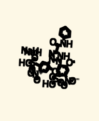 COc1cc([N+](=O)[O-])c(S(=O)(=O)O)cc1N1N=C(C(=O)Nc2ccccc2)NN1c1cc(S(=O)(=O)O)c([N+](=O)[O-])cc1OC.[NaH].[NaH]